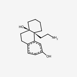 NCC[C@]12CCCC[C@@]1(O)CCc1ccc(O)cc12